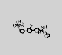 CC(=O)NC[C@@H]1CCC(c2ccc(-c3ccc(C(=N)NCc4ccco4)cc3)c(F)c2)C1